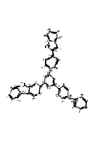 c1ccc(-c2ccc(-c3cc(-c4ccc(-c5cc6ccccc6o5)cc4)nc(-c4ccc5c(c4)oc4ccccc45)n3)cc2)cc1